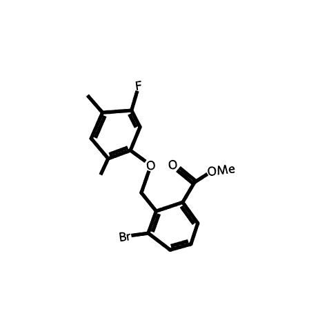 COC(=O)c1cccc(Br)c1COc1cc(F)c(C)cc1C